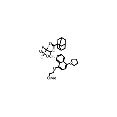 COCCOc1ccc([S+]2CCCC2)c2ccccc12.O=C(OC(C(F)(F)F)C(F)(F)S(=O)(=O)[O-])C12CC3CC(CC(C3)C1)C2